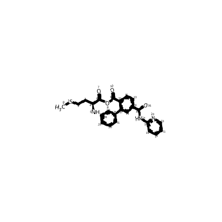 CSCC[C@H](N)C(=O)OC(=O)c1ccc(C(=O)Nc2ccccn2)cc1-c1ccccc1